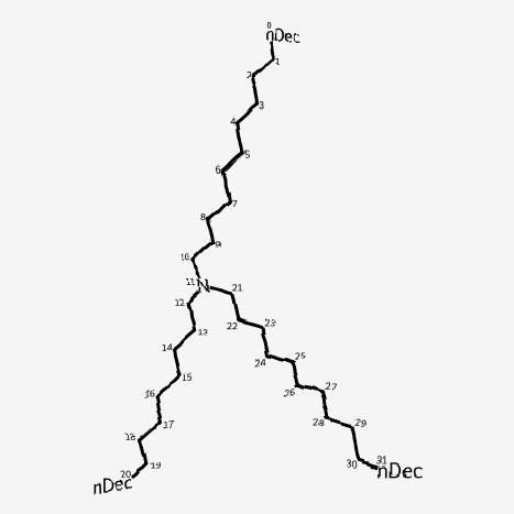 CCCCCCCCCCCCCCCCCCCCN(CCCCCCCCCCCCCCCCCC)CCCCCCCCCCCCCCCCCCCC